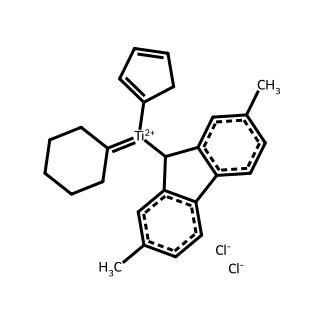 Cc1ccc2c(c1)[CH]([Ti+2]([C]1=CC=CC1)=[C]1CCCCC1)c1cc(C)ccc1-2.[Cl-].[Cl-]